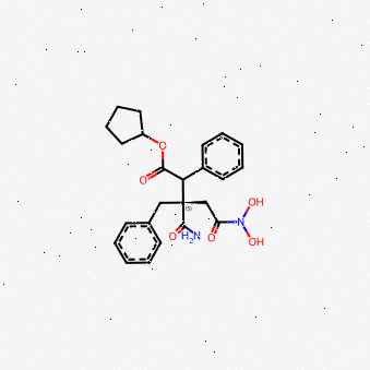 NC(=O)[C@](CC(=O)N(O)O)(Cc1ccccc1)C(C(=O)OC1CCCC1)c1ccccc1